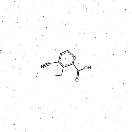 CCc1c(C#N)ccnc1C(=O)O